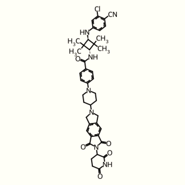 CC1(C)[C@H](NC(=O)c2ccc(N3CCC(N4Cc5cc6c(cc5C4)C(=O)N(C4CCC(=O)NC4=O)C6=O)CC3)cc2)C(C)(C)[C@H]1Nc1ccc(C#N)c(Cl)c1